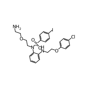 NCCOCCN(c1ccccc1NCCOc1ccc(Cl)cc1)S(=O)(=O)c1ccc(I)cc1